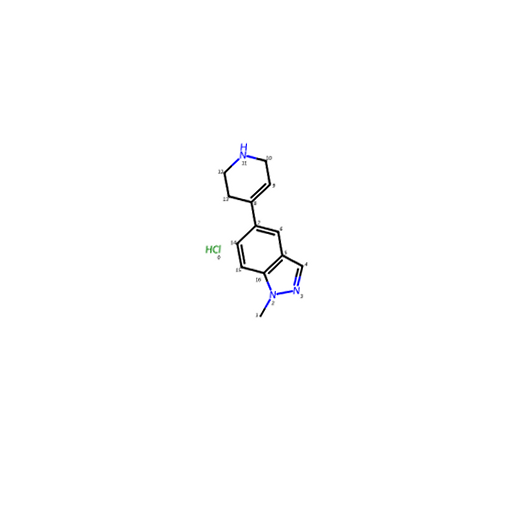 Cl.Cn1ncc2cc(C3=CCNCC3)ccc21